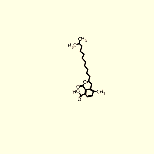 Cc1ccc(C(=O)O)c(C(=O)O)c1CCCCCCCCCCCC(C)C